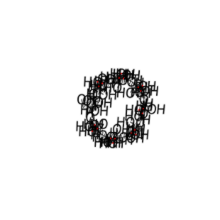 O=C[C@H]1O[C@@H]2O[C@H]3[C@H](O)[C@@H](O)[C@@H](O[C@H]4[C@H](O)[C@@H](O)[C@@H](O[C@H]5[C@H](O)[C@@H](O)[C@@H](O[C@H]6[C@H](O)[C@@H](O)[C@@H](O[C@H]7[C@H](O)[C@@H](O)[C@@H](O[C@H]8[C@H](O)[C@@H](O)[C@@H](O[C@H]9[C@H](O)[C@@H](O)[C@H](O[C@H]1[C@H](O)[C@H]2O)O[C@@H]9CO)O[C@@H]8CO)O[C@@H]7CO)O[C@@H]6CO)O[C@@H]5CO)O[C@@H]4CO)O[C@@H]3CO